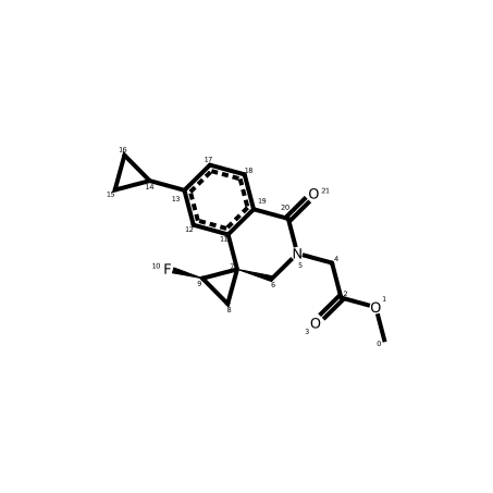 COC(=O)CN1C[C@]2(C[C@H]2F)c2cc(C3CC3)ccc2C1=O